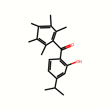 Cc1c(C)c(C)c(C(=O)c2ccc(C(C)C)cc2O)c(C)c1C